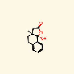 C[C@]12CCc3ccccc3[C@]1(O)OC(=O)C2